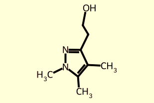 Cc1c(CCO)nn(C)c1C